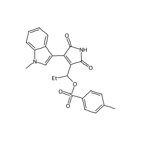 CCC(OS(=O)(=O)c1ccc(C)cc1)C1=C(c2cn(C)c3ccccc23)C(=O)NC1=O